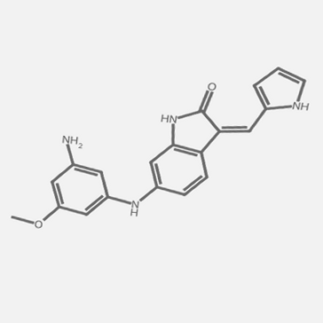 COc1cc(N)cc(Nc2ccc3c(c2)NC(=O)C3=Cc2ccc[nH]2)c1